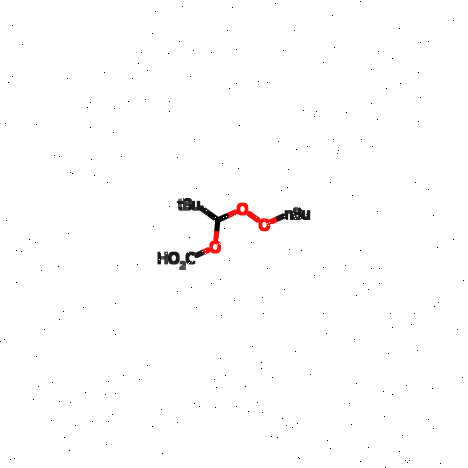 CCCCOOC(OC(=O)O)C(C)(C)C